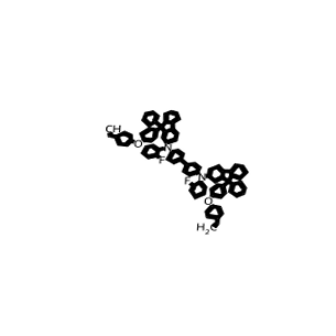 C=Cc1ccc(Oc2ccc(C3(c4ccccc4)c4ccccc4-c4ccc(N(c5ccc(-c6ccc(N(c7ccc8c(c7)C(c7ccccc7)(c7ccc(Oc9ccc(C=C)cc9)cc7)c7ccccc7-8)c7ccccc7F)cc6)cc5)c5ccccc5F)cc43)cc2)cc1